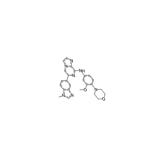 COc1cc(Nc2nc(-c3ccc4c(c3)ncn4C)cn3ccnc23)ccc1N1CCOCC1